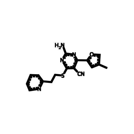 Cc1coc(-c2nc(N)nc(SCCc3ccccn3)c2C#N)c1